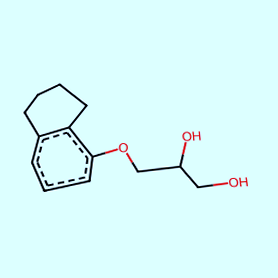 OCC(O)COc1cccc2c1CCCC2